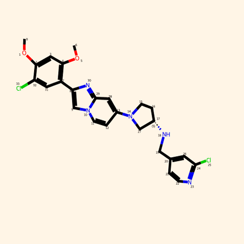 COc1cc(OC)c(-c2cn3ccc(N4CC[C@H](NCc5ccnc(Cl)c5)C4)cc3n2)cc1Cl